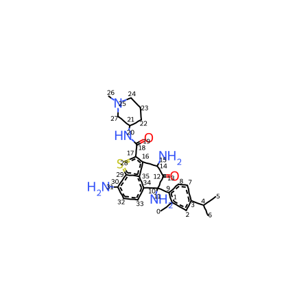 Cc1cc(C(C)C)ccc1C1(N)C(=O)C(N)c2c(C(=O)NC3CCCN(C)C3)sc3c(N)ccc1c23